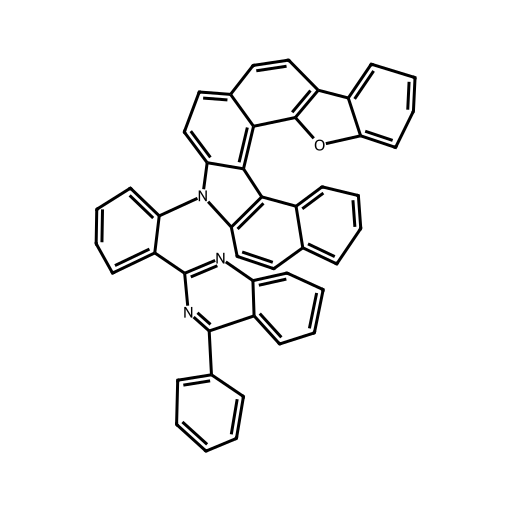 c1ccc(-c2nc(-c3ccccc3-n3c4ccc5ccccc5c4c4c5c(ccc6c7ccccc7oc65)ccc43)nc3ccccc23)cc1